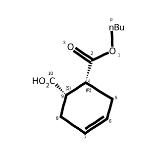 CCCCOC(=O)[C@@H]1CC=CC[C@@H]1C(=O)O